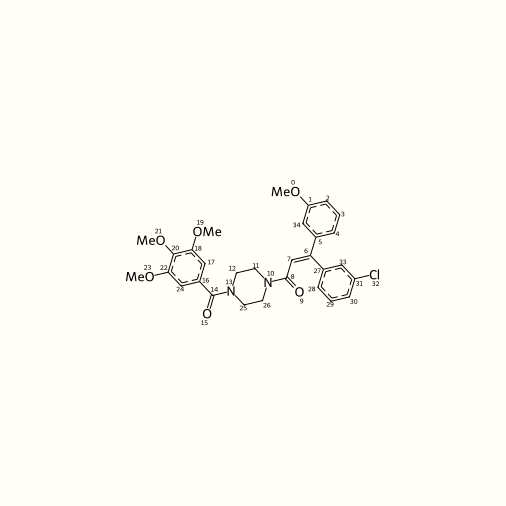 COc1cccc(C(=CC(=O)N2CCN(C(=O)c3cc(OC)c(OC)c(OC)c3)CC2)c2cccc(Cl)c2)c1